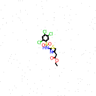 CCOC(=O)Cc1csc(NS(=O)(=O)c2cc(Cl)c(Cl)cc2Cl)n1